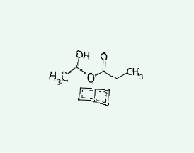 CCC(=O)OC(C)O.c1cc2ccc1-2